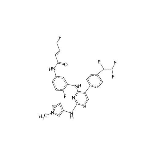 Cn1cc(Nc2ncc(-c3ccc(C(F)C(F)F)cc3)c(Nc3cc(NC(=O)/C=C/CF)ccc3F)n2)cn1